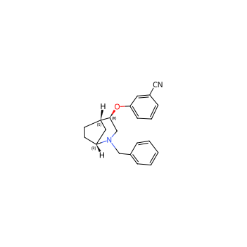 N#Cc1cccc(O[C@H]2CN(Cc3ccccc3)[C@@H]3CC[C@H]2C3)c1